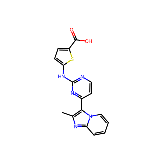 Cc1nc2ccccn2c1-c1ccnc(Nc2ccc(C(=O)O)s2)n1